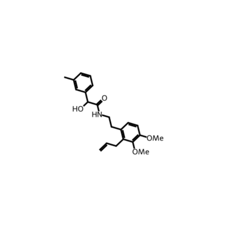 C=CCc1c(CCNC(=O)C(O)c2cccc(C)c2)ccc(OC)c1OC